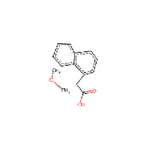 COC.O=C(O)Cc1cccc2ccccc12